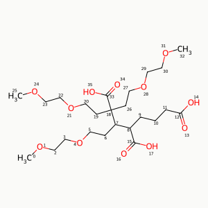 COCCOCCC(C(CCCC(=O)O)C(=O)O)C(CCOCCOC)(CCOCCOC)C(=O)O